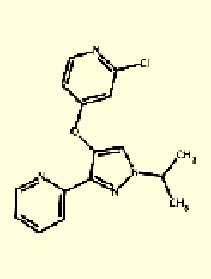 CC(C)n1cc(Oc2ccnc(Cl)c2)c(-c2ccccn2)n1